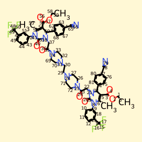 CCOC(=O)C1=C(C)N(c2cccc(C(F)(F)F)c2)C(=O)N(CC(=O)N2CCN(CCN3CCN(C(=O)CN4C(=O)N(c5cccc(C(F)(F)F)c5)C(C)=C(C(=O)OCC)C4c4ccc(C#N)cc4)CC3)CC2)C1c1ccc(C#N)cc1